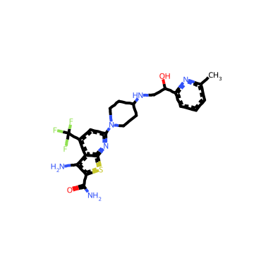 Cc1cccc(C(O)CNC2CCN(c3cc(C(F)(F)F)c4c(N)c(C(N)=O)sc4n3)CC2)n1